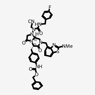 CNc1nc2c(CN3C[C@H]4N(C(=O)CN4N(CC#N)C(=O)NCc4ccc(F)cc4)[C@@H](Cc4ccc(NC(=O)OCc5ccccc5)cc4)C3=O)cccc2s1